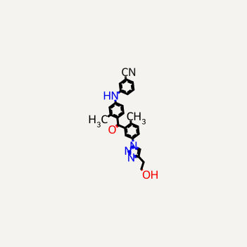 Cc1cc(Nc2cccc(C#N)c2)ccc1C(=O)c1cc(-n2cc(CCO)nn2)ccc1C